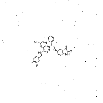 N#Cc1cnc(N[C@@H](COc2ccc3[nH]c(=O)[nH]c3c2)c2ccccc2)c(C(=O)NCc2ccc(F)c(F)c2)n1